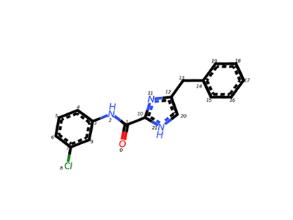 O=C(Nc1cccc(Cl)c1)c1nc(Cc2ccccc2)c[nH]1